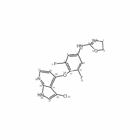 Fc1cc(NC2=NCCO2)cc(F)c1Oc1ccnc2[nH]cc(Cl)c12